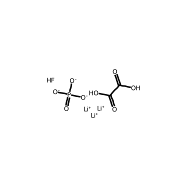 F.O=C(O)C(=O)O.O=P([O-])([O-])[O-].[Li+].[Li+].[Li+]